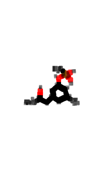 COC(=O)Cc1cc(OS(C)(=O)=O)cc(C(F)(F)F)c1